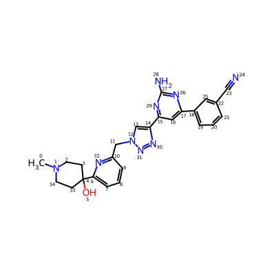 CN1CCC(O)(c2cccc(Cn3cc(-c4cc(-c5cccc(C#N)c5)nc(N)n4)nn3)n2)CC1